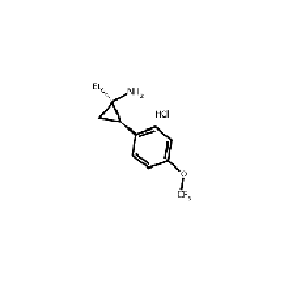 CC[C@@]1(N)C[C@@H]1c1ccc(OC(F)(F)F)cc1.Cl